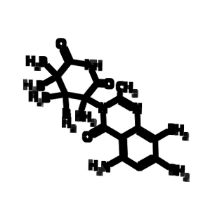 Bc1cc(N)c2c(=O)n(C3(B)C(=O)NC(=O)C(B)(B)C3(B)B)c(C)nc2c1B